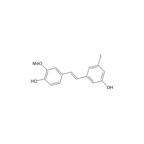 COc1cc(/C=C/c2cc(O)cc(I)c2)ccc1O